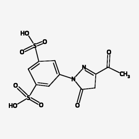 CC(=O)C1=NN(c2cc(S(=O)(=O)O)cc(S(=O)(=O)O)c2)C(=O)C1